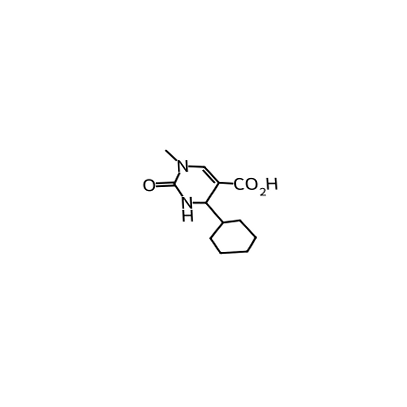 CN1C=C(C(=O)O)C(C2CCCCC2)NC1=O